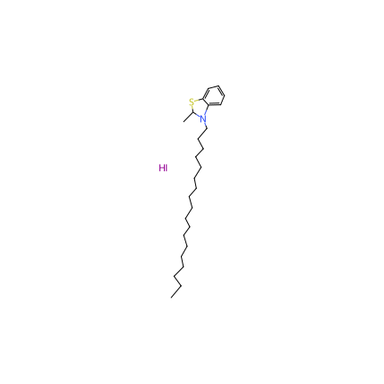 CCCCCCCCCCCCCCCCCCN1c2ccccc2SC1C.I